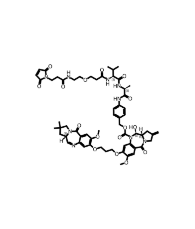 C=C1C[C@H]2[C@H](O)N(C(=O)OCc3ccc(NC(=O)[C@H](C)NC(=O)[C@@H](NC(=O)CCOCCNC(=O)CCN4C(=O)C=CC4=O)C(C)C)cc3)c3cc(OCCCOc4cc5c(cc4OC)C(=O)N4CC(C)(C)C[C@H]4C=N5)c(OC)cc3C(=O)N2C1